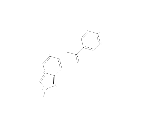 O=C(Nc1ccc2cn(C(=O)O)cc2c1)c1cncnc1